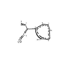 C=CC(=C=O)c1ccccc1